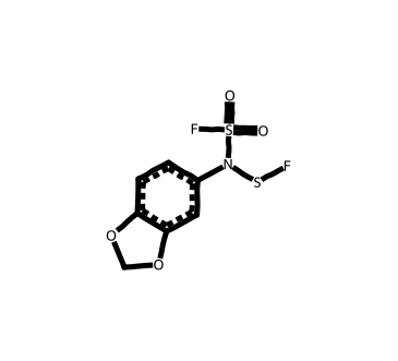 O=S(=O)(F)N(SF)c1ccc2c(c1)OCO2